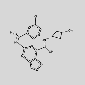 C[C@H](Nc1nc(C(O)N[C@H]2C[C@@H](O)C2)c2sccc2n1)c1cncc(Cl)c1